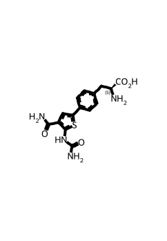 NC(=O)Nc1sc(-c2ccc(C[C@H](N)C(=O)O)cc2)cc1C(N)=O